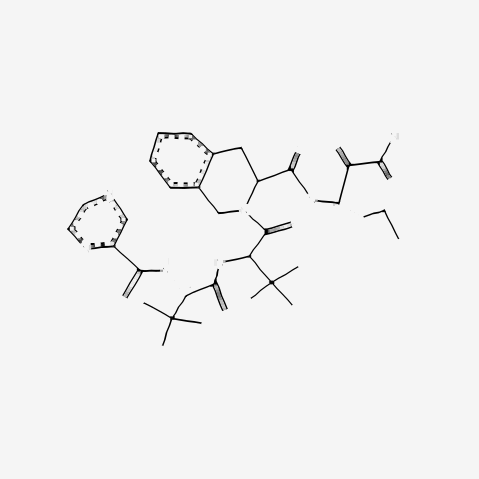 CCC[C@H](NC(=O)C1Cc2ccccc2CN1C(=O)C(NC(=O)[C@@H](NC(=O)c1cnccn1)C(C)(C)C)C(C)(C)C)C(=O)C(N)=O